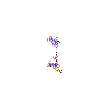 CS(=O)(=O)n1ccc(C(=O)N[C@@H](COCCCC(=O)NCCCCCCCCNc2cccc3c2C(=O)N(C2CCC(=O)NC2=O)C3=O)C(=O)Nc2nc(-c3ccccc3)cs2)c1